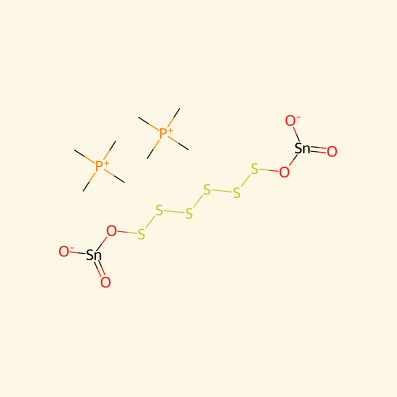 C[P+](C)(C)C.C[P+](C)(C)C.[O]=[Sn]([O-])[O]SSSSSS[O][Sn](=[O])[O-]